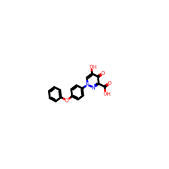 O=C(O)c1nn(-c2ccc(Oc3ccccc3)cc2)cc(O)c1=O